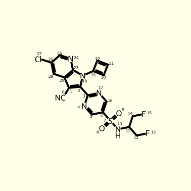 N#Cc1c(-c2ncc(S(=O)(=O)NC(CF)CF)cn2)n(C2=CC=C2)c2ncc(Cl)cc12